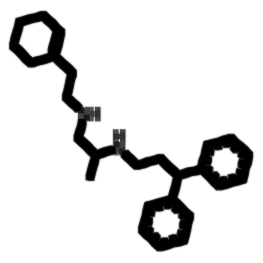 CC(CNCCC1=CCCCC1)NCCC(c1ccccc1)c1ccccc1